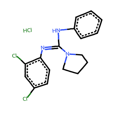 Cl.Clc1ccc(N=C(Nc2ccccc2)N2CCCC2)c(Cl)c1